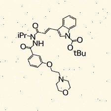 CC(C)N(NC(=O)c1cccc(OCCN2CCOCC2)c1)C(=O)/C=C/c1cn(C(=O)OC(C)(C)C)c2ccccc12